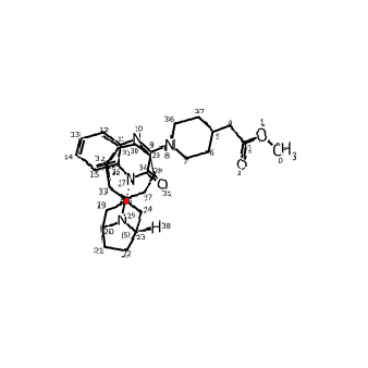 COC(=O)CC1CCN(c2nc3ccccc3n([C@H]3CC4CC[C@@H](C3)N4C3CCCCCCC3)c2=O)CC1